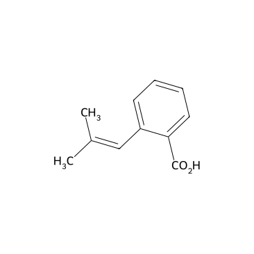 CC(C)=Cc1ccccc1C(=O)O